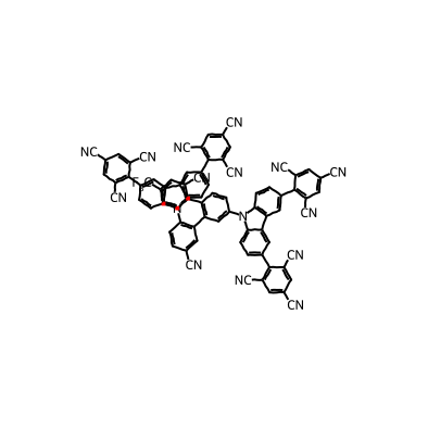 N#Cc1cc(C#N)c(-c2ccc3c(c2)c2cc(-c4c(C#N)cc(C#N)cc4C#N)ccc2n3-c2ccc(-c3ccc(C(F)(F)F)cc3C#N)c(-c3cc(C#N)ccc3-n3c4ccc(-c5c(C#N)cc(C#N)cc5C#N)cc4c4cc(-c5c(C#N)cc(C#N)cc5C#N)ccc43)c2)c(C#N)c1